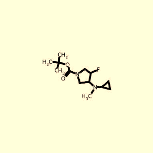 CN(C1CC1)C1CN(C(=O)OC(C)(C)C)CC1F